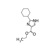 CCOC(=O)c1c[nH]c(C2CCCCC2)n1